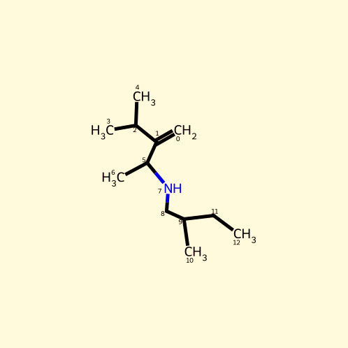 C=C(C(C)C)C(C)NCC(C)CC